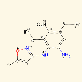 Cc1cc(Nc2c(N)cc(CC(C)C)c([N+](=O)[O-])c2CC(C)C)no1